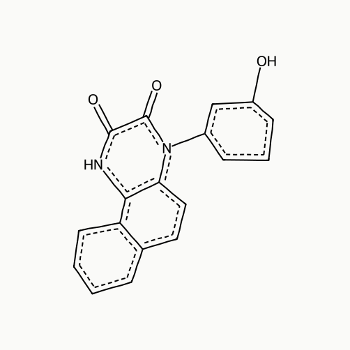 O=c1[nH]c2c3ccccc3ccc2n(-c2cccc(O)c2)c1=O